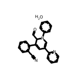 N#Cc1ccccc1C1=CC(c2ccccn2)=CN(c2ccccc2)C1C=O.O